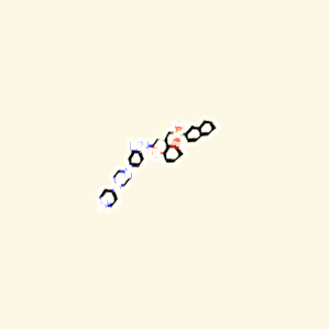 O=C(C[C@@H](CS(=O)(=O)c1ccc2ccccc2c1)c1ccccc1)Nc1ccc(N2CCN(c3ccncc3)CC2)cc1